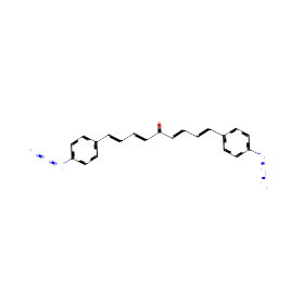 [N-]=[N+]=Nc1ccc(C=CC=CC(=O)C=CC=Cc2ccc(N=[N+]=[N-])cc2)cc1